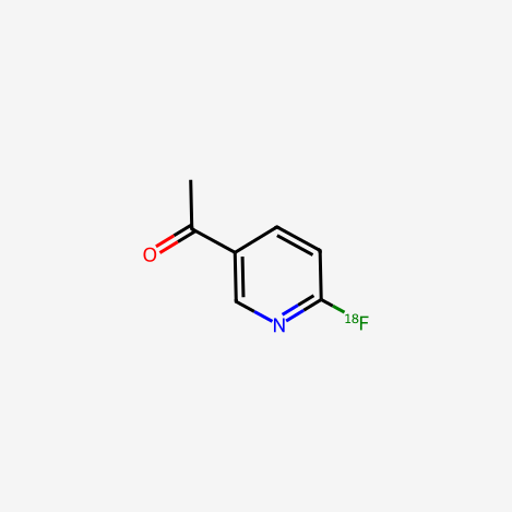 CC(=O)c1ccc([18F])nc1